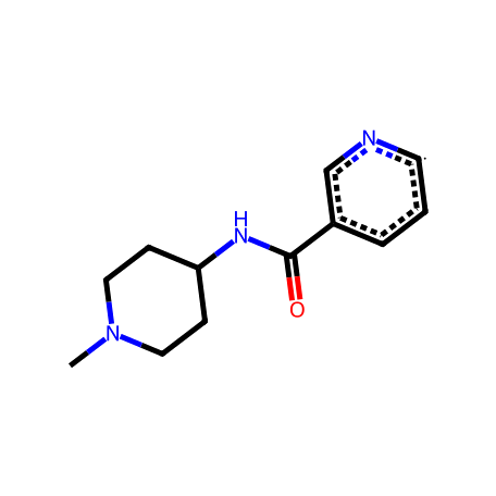 CN1CCC(NC(=O)c2cc[c]nc2)CC1